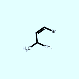 CC(C)/C=C\Br